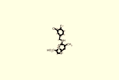 Cc1cc2ncc(C(=O)O)n2nc1NCc1ccc(F)c(Cl)c1